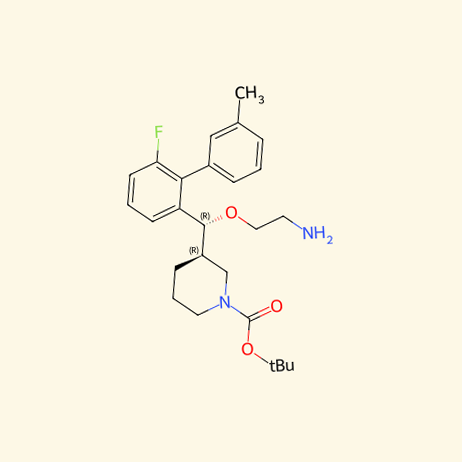 Cc1cccc(-c2c(F)cccc2[C@H](OCCN)[C@@H]2CCCN(C(=O)OC(C)(C)C)C2)c1